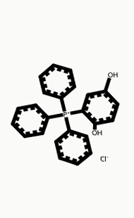 Oc1ccc(O)c([P+](c2ccccc2)(c2ccccc2)c2ccccc2)c1.[Cl-]